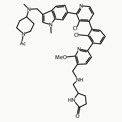 COc1nc(-c2cccc(-c3ccnc(-c4ccc5c(CN(C)C6CCN(C(C)=O)CC6)cn(C)c5c4)c3Cl)c2Cl)ccc1CNCC1CCC(=O)N1